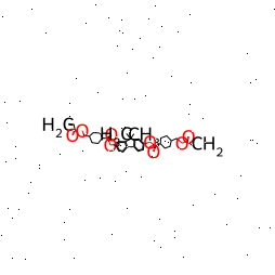 C=CC(=O)OCC1CCC(C(=O)Oc2ccc3c(c2)C(C)(C)c2cc(OC(=O)C4CCC(COC(=O)C=C)CC4)ccc2-3)CC1